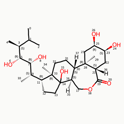 CC(C)[C@H](C)[C@@H](O)[C@H](O)[C@@H](C)[C@H]1CCC2(O)[C@@H]3COC(=O)[C@H]4C[C@H](O)[C@H](O)C[C@]4(C)[C@H]3CC[C@]12C